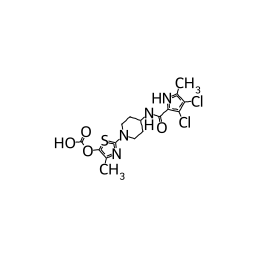 Cc1nc(N2CCC(NC(=O)c3[nH]c(C)c(Cl)c3Cl)CC2)sc1OC(=O)O